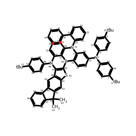 CC(C)(C)c1ccc(N(c2ccc(C(C)(C)C)cc2)c2ccc3c(c2)N(c2ccccc2-c2ccccc2)c2cccc4c2B3c2sc3cc5c(cc3c2N4c2ccc(C(C)(C)C)cc2)-c2ccccc2C5(C)C)cc1